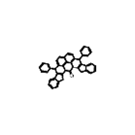 O=C1C2C3=C(c4ccccc4C3)C(c3ccccc3)c3ccc4ccc5c(c4c32)C1C1=C(c2ccccc2C1)C5c1ccccc1